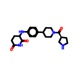 O=C1CCC(Nc2ccc(C3CCN(C(=O)[C@H]4CCNC4)CC3)cc2)C(=O)N1